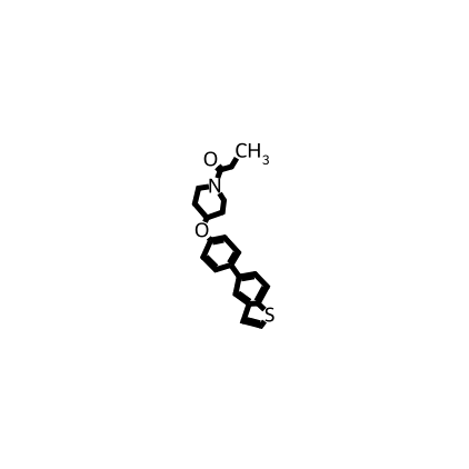 CCC(=O)N1CCC(Oc2ccc(-c3ccc4sccc4c3)cc2)CC1